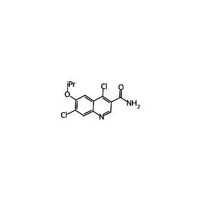 CC(C)Oc1cc2c(Cl)c(C(N)=O)cnc2cc1Cl